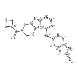 O=C(C1CCc2c(sc3ncnc(Nc4ccc5[nH]c(=O)sc5c4)c23)C1)N1CCC1